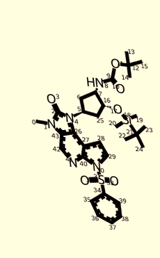 Cn1c(=O)n([C@H]2C[C@H](NC(=O)OC(C)(C)C)[C@H](O[Si](C)(C)C(C)(C)C)C2)c2c3ccn(S(=O)(=O)c4ccccc4)c3ncc21